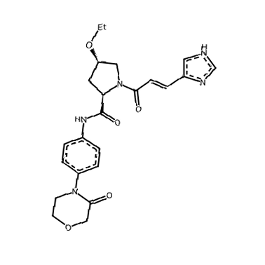 CCO[C@@H]1C[C@H](C(=O)Nc2ccc(N3CCOCC3=O)cc2)N(C(=O)C=Cc2c[nH]cn2)C1